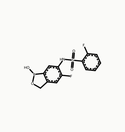 O=S(=O)(Nc1cc2c(cc1F)COB2O)c1ccccc1F